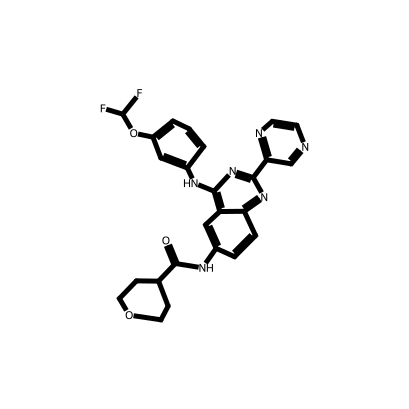 O=C(Nc1ccc2nc(-c3cnccn3)nc(Nc3cccc(OC(F)F)c3)c2c1)C1CCOCC1